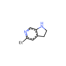 CCc1cc2c(cn1)NCC2